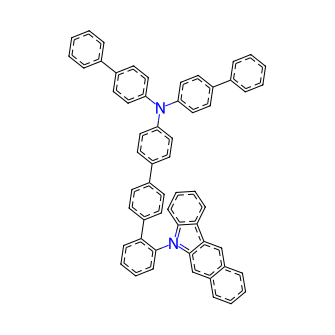 c1ccc(-c2ccc(N(c3ccc(-c4ccccc4)cc3)c3ccc(-c4ccc(-c5ccccc5-n5c6ccccc6c6cc7ccccc7cc65)cc4)cc3)cc2)cc1